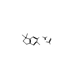 CCOC(=O)c1coc(Oc2cc3c(cc2C)CCC3(C)C)n1